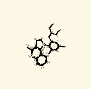 CCC(CC)Cc1cc(C)cc(C)c1N1CCc2c(C)nc3ccccc3c21